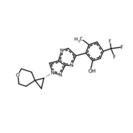 Cc1cc(C(F)(F)F)cc(O)c1-c1cnc2cn([C@@H]3CC34CCOCC4)nc2n1